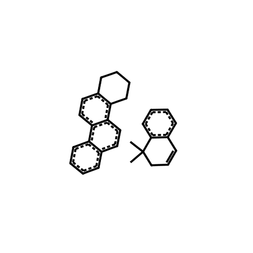 CC1(C)CC=Cc2ccccc21.c1ccc2c(c1)ccc1c3c(ccc12)CCCC3